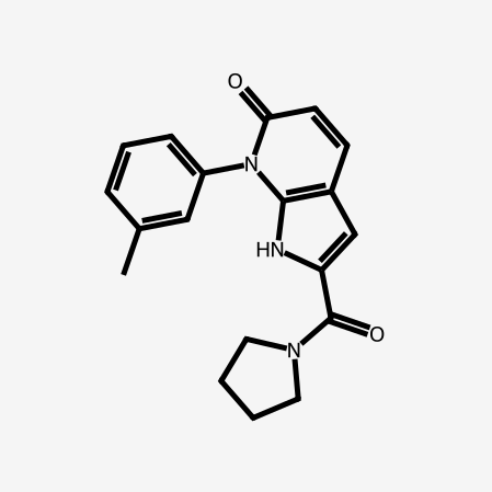 Cc1cccc(-n2c(=O)ccc3cc(C(=O)N4CCCC4)[nH]c32)c1